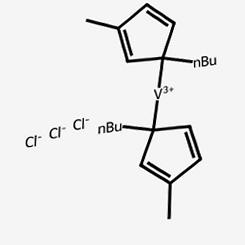 CCCC[C]1([V+3][C]2(CCCC)C=CC(C)=C2)C=CC(C)=C1.[Cl-].[Cl-].[Cl-]